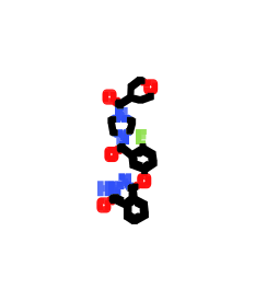 O=C(c1cc(Oc2n[nH]c(=O)c3ccccc23)ccc1F)N1CCN(C(=O)C2CCOCC2)CC1